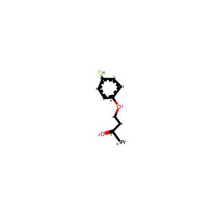 CC(C)C(=O)CCOc1ccc(F)cc1